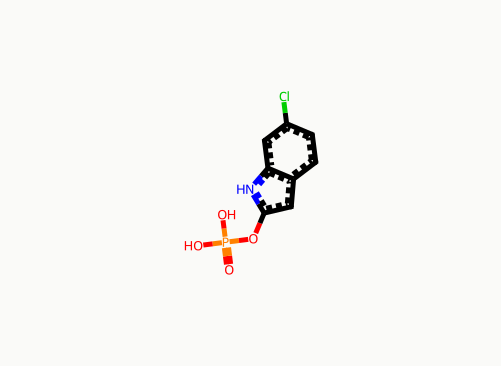 O=P(O)(O)Oc1cc2ccc(Cl)cc2[nH]1